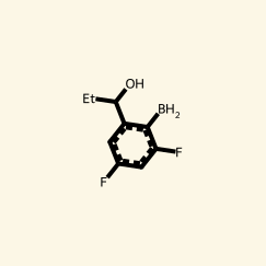 Bc1c(F)cc(F)cc1C(O)CC